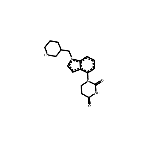 O=C1CCN(c2cccc3c2ccn3CC2CCCNC2)C(=O)N1